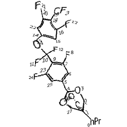 CCCC12COC(c3cc(F)c(C(F)(F)Oc4cc(F)c(C(F)(F)F)c(F)c4)c(F)c3)(OC1)OC2